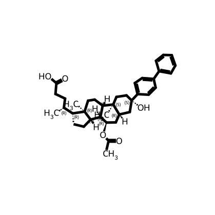 CC(=O)O[C@@H]1C[C@@H]2C[C@](O)(c3ccc(-c4ccccc4)cc3)CC[C@]2(C)[C@H]2CC[C@]3(C)[C@@H]([C@H](C)CCC(=O)O)CC[C@H]3[C@H]12